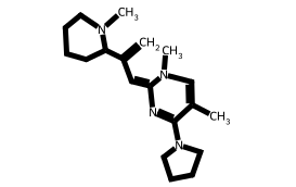 C=C(/C=C1/N=C(N2CCCC2)C(C)=CN1C)C1CCCCN1C